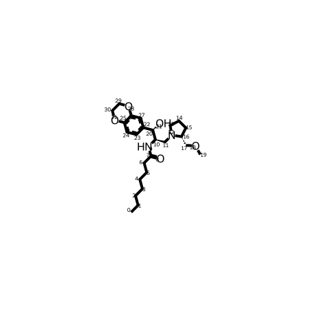 CCCCCCCC(=O)N[C@H](CN1CCC[C@@H]1COC)[C@@H](O)c1ccc2c(c1)OCCO2